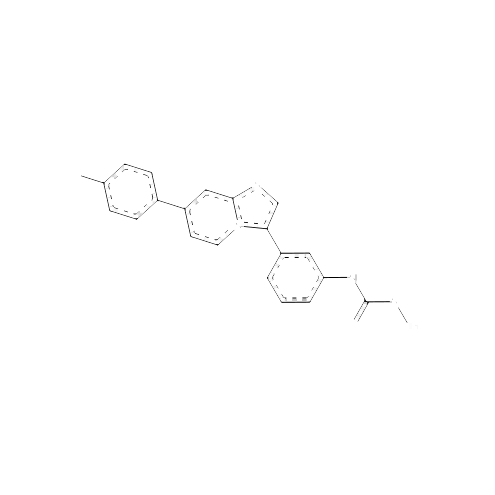 CC(C)NC(=O)Nc1cccc(-c2cnc3cc(-c4ccc(F)cc4)ccn23)c1